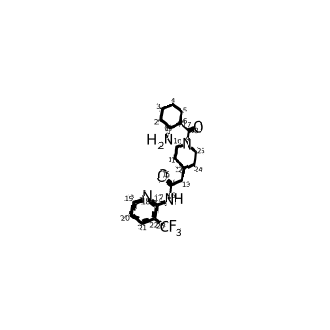 N[C@@H]1CCCC[C@H]1C(=O)N1CCC(CC(=O)Nc2ncccc2C(F)(F)F)CC1